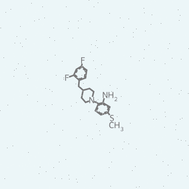 CSc1ccc(N2CCC(Cc3ccc(F)cc3F)CC2)c(N)c1